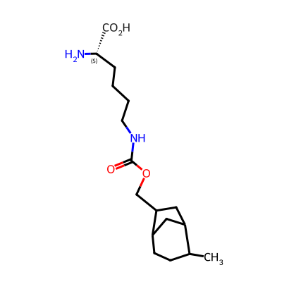 CC1CCC2CC1CC2COC(=O)NCCCC[C@H](N)C(=O)O